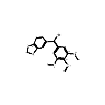 COc1cc(C(O)c2ccc3c(c2)OCO3)cc(OC)c1OC